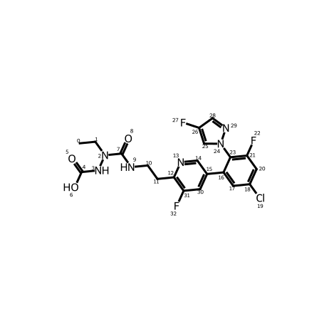 CCN(NC(=O)O)C(=O)NCCc1ncc(-c2cc(Cl)cc(F)c2-n2cc(F)cn2)cc1F